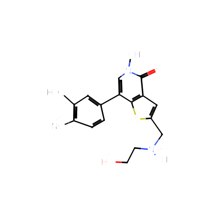 Cc1cc(-c2cn(C)c(=O)c3cc(CN(C)CCO)sc23)ccc1C#N